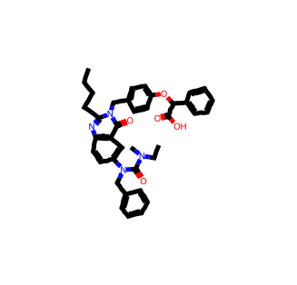 CCCCc1nc2ccc(N(Cc3ccccc3)C(=O)N(C)CC)cc2c(=O)n1Cc1ccc(OC(C(=O)O)c2ccccc2)cc1